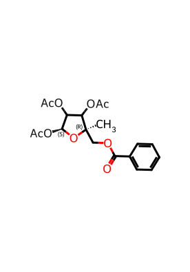 CC(=O)OC1C(OC(C)=O)[C@@](C)(COC(=O)c2ccccc2)O[C@H]1OC(C)=O